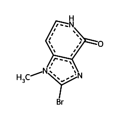 Cn1c(Br)nc2c(=O)[nH]ccc21